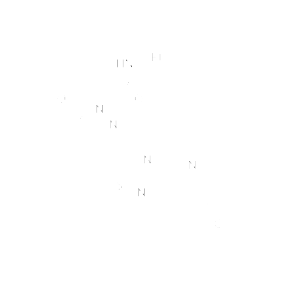 CCNC(=O)Cn1nc(-c2nc(-c3cc(Cl)ccn3)ns2)ccc1=O